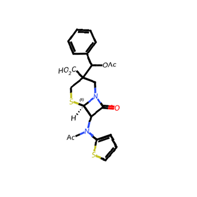 CC(=O)OC(c1ccccc1)C1(C(=O)O)CS[C@@H]2C(N(C(C)=O)c3cccs3)C(=O)N2C1